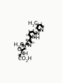 Cc1ccnc(Nc2cccc(-c3cnc(N(C)CC(=O)NCC(=O)O)s3)n2)c1